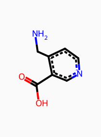 NCc1ccncc1C(=O)O